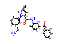 NCc1cccc(-n2nc(C(F)(F)F)cc2C(=O)Nc2cccc(C(=O)c3ccccc3)c2)c1